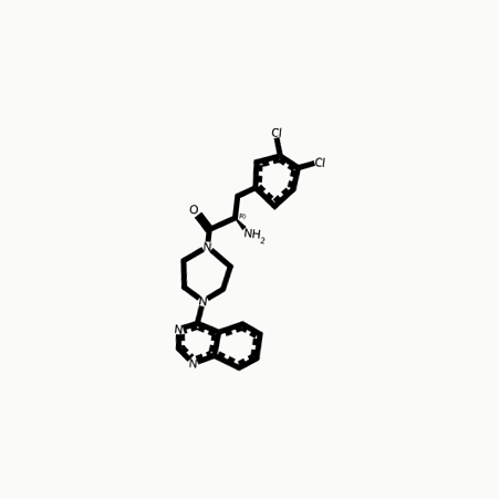 N[C@H](Cc1ccc(Cl)c(Cl)c1)C(=O)N1CCN(c2ncnc3ccccc23)CC1